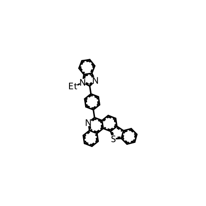 CCn1c(-c2ccc(-c3nc4ccccc4c4c3ccc3c5ccccc5sc34)cc2)nc2ccccc21